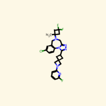 CC1(N2Cc3cc(Cl)ccc3-n3c(nnc3C3CC4(C3)CN(c3cccc(F)n3)C4)C2)CC(F)(F)C1